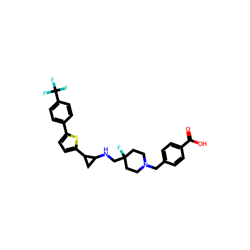 O=C(O)c1ccc(CN2CCC(F)(CNC3CC3c3ccc(-c4ccc(C(F)(F)F)cc4)s3)CC2)cc1